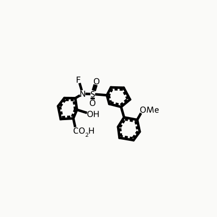 COc1ccccc1-c1cccc(S(=O)(=O)N(F)c2cccc(C(=O)O)c2O)c1